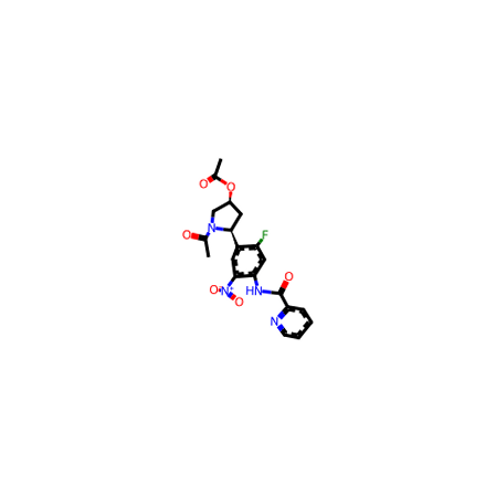 CC(=O)O[C@H]1C[C@@H](c2cc([N+](=O)[O-])c(NC(=O)c3ccccn3)cc2F)N(C(C)=O)C1